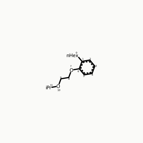 CCCCCCc1ccccc1OCCOC(C)C